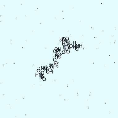 Cc1c(-c2ccc(N3CCc4cccc(C(=O)Nc5nc6ccccc6s5)c4C3)nc2C(=O)O)cnn1CC12CC3(C)CC(C)(C1)CC(OCCN(CCS(=O)(=O)O)C(=O)OCc1ccc(NC(=O)[C@H](CCCNC(N)=O)NC(=O)[C@@H](NC(=O)CN4C(=O)C=CC4=O)C(C)C)cc1)(C3)C2